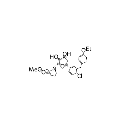 CCOc1ccc(Cc2cc([C@H]3C[C@@H](O)[C@H](O)[C@@H](CN4CCC[C@H]4COOC)O3)ccc2Cl)cc1